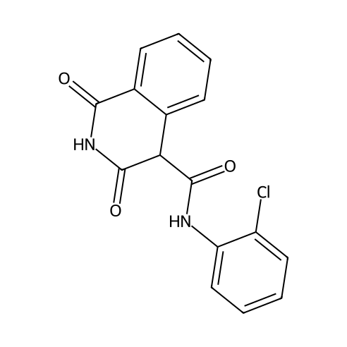 O=C1NC(=O)C(C(=O)Nc2ccccc2Cl)c2ccccc21